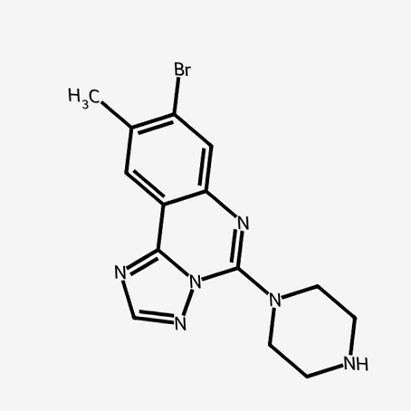 Cc1cc2c(cc1Br)nc(N1CCNCC1)n1ncnc21